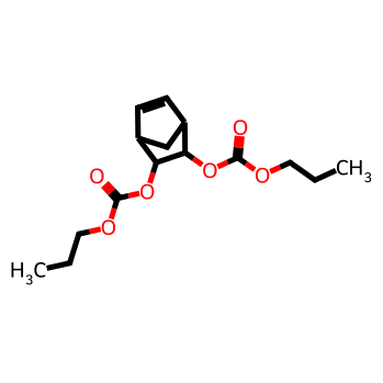 CCCOC(=O)OC1C2C=CC(C2)C1OC(=O)OCCC